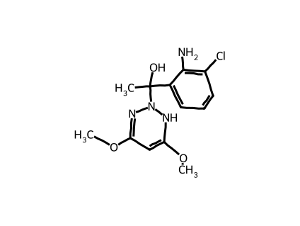 COC1=CC(OC)=NN(C(C)(O)c2cccc(Cl)c2N)N1